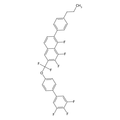 CCCc1ccc(-c2ccc3cc(C(F)(F)Oc4ccc(-c5cc(F)c(F)c(F)c5)cc4)c(F)c(F)c3c2F)cc1